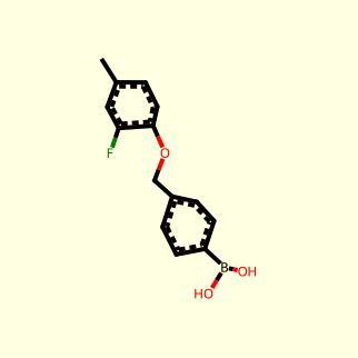 Cc1ccc(OCc2ccc(B(O)O)cc2)c(F)c1